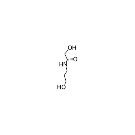 O=C(CO)NCCCO